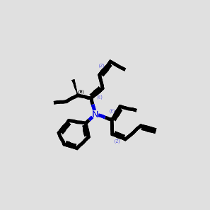 C=C/C=C\C(=C/C)N(/C(=C/C=C\C)[C@H](C)CC)c1ccccc1